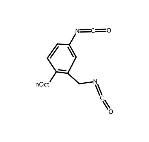 CCCCCCCCc1ccc(N=C=O)cc1CN=C=O